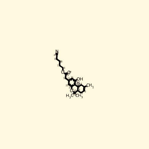 CC1=CCC2[C@@H](C1)c1c(O)cc(CC(=O)OCCCCC#N)cc1OC2(C)C